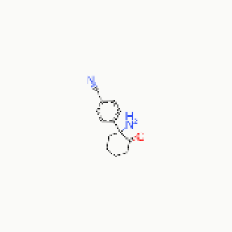 N#Cc1ccc(C2(N)CCCCC2=O)cc1